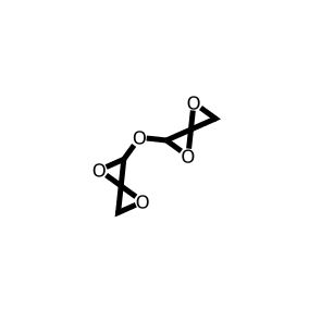 C1OC12OC2OC1OC12CO2